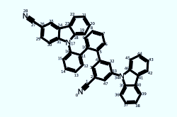 N#Cc1cc(-c2ccccc2-c2ccccc2-n2c3ccccc3c3cc(C#N)ccc32)cc(-n2c3ccccc3c3ccccc32)c1